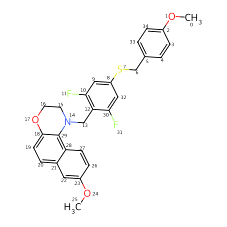 COc1ccc(CSc2cc(F)c(CN3CCOc4ccc5cc(OC)ccc5c43)c(F)c2)cc1